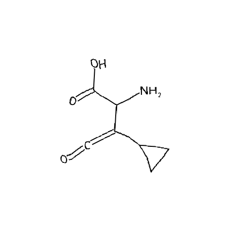 NC(C(=O)O)C(=C=O)C1CC1